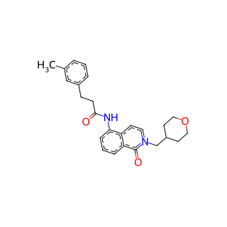 Cc1cccc(CCC(=O)Nc2cccc3c(=O)n(CC4CCOCC4)ccc23)c1